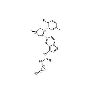 O[C@@H]1C[C@H]1NC(=S)Nc1cnn2ccc(N3C[C@@H](F)C[C@@H]3c3cc(F)ccc3F)nc12